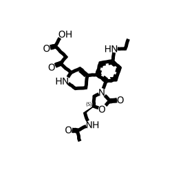 CCNc1ccc(N2C[C@H](CNC(C)=O)OC2=O)c(C2=CC(C(=O)CC(=O)O)NCC2)c1